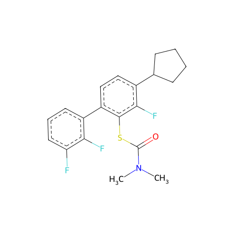 CN(C)C(=O)Sc1c(-c2cccc(F)c2F)ccc(C2CCCC2)c1F